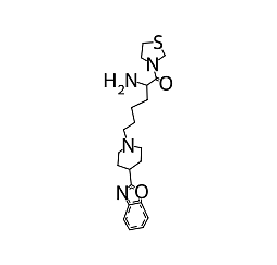 NC(CCCCN1CCC(c2nc3ccccc3o2)CC1)C(=O)N1CCSC1